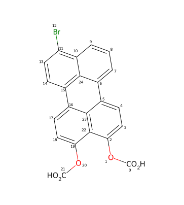 O=C(O)Oc1ccc2c3cccc4c(Br)ccc(c5ccc(OC(=O)O)c1c25)c43